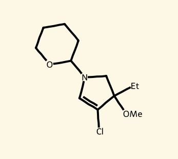 CCC1(OC)CN(C2CCCCO2)C=C1Cl